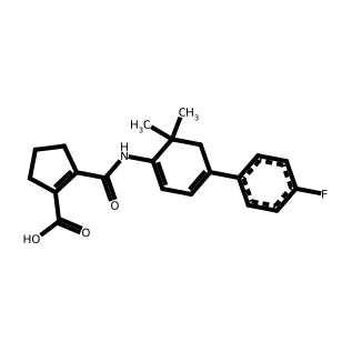 CC1(C)CC(c2ccc(F)cc2)=CC=C1NC(=O)C1=C(C(=O)O)CCC1